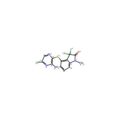 CN1C(=O)C(F)(F)c2c(Sc3ncc(Cl)nc3N)cccc21